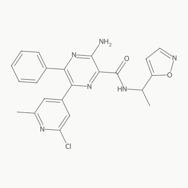 Cc1cc(-c2nc(C(=O)NC(C)c3ccno3)c(N)nc2-c2ccccc2)cc(Cl)n1